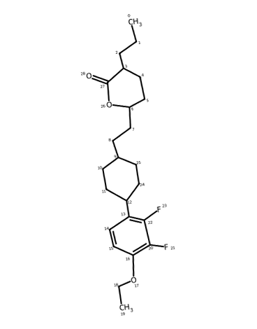 CCCC1CCC(CCC2CCC(c3ccc(OCC)c(F)c3F)CC2)OC1=O